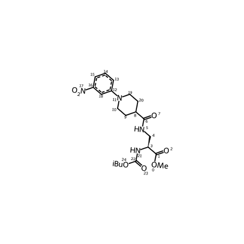 COC(=O)[C@H](CNC(=O)C1CCN(c2cccc([N+](=O)[O-])c2)CC1)NC(=O)OCC(C)C